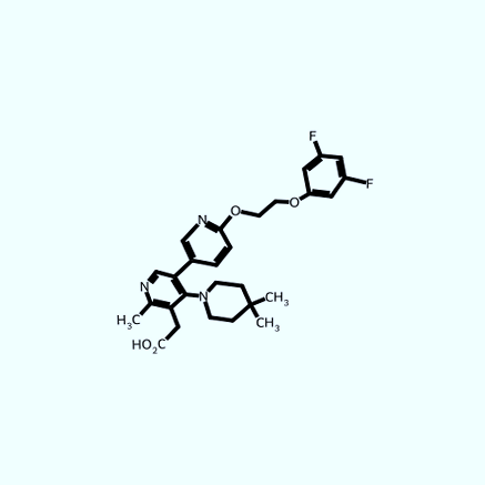 Cc1ncc(-c2ccc(OCCOc3cc(F)cc(F)c3)nc2)c(N2CCC(C)(C)CC2)c1CC(=O)O